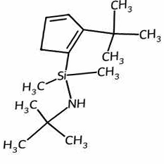 CC(C)(C)N[Si](C)(C)C1=C(C(C)(C)C)C=CC1